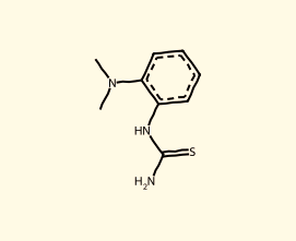 CN(C)c1ccccc1NC(N)=S